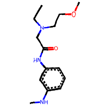 CCN(CCOC)CC(=O)Nc1cccc(NC)c1